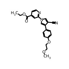 CCOC(=O)c1ccnc(-n2cc(C#N)c(-c3ccc(OCCOC)cc3)c2)c1